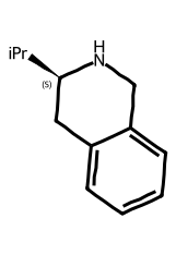 CC(C)[C@@H]1Cc2ccccc2CN1